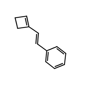 C(=Cc1ccccc1)C1=CCC1